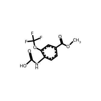 COC(=O)c1ccc(NC(=O)O)c(OC(F)(F)F)c1